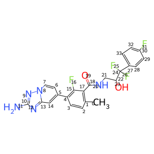 Cc1ccc(-c2ccn3nc(N)nc3c2)c(F)c1C(=O)NCC(O)C(F)(F)c1ccc(F)cc1